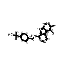 Cc1nnc2sc3c(NCc4ccc(C(C)(C)O)cc4)nncc3c2c1C